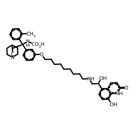 Cc1ccccc1C(NC(=O)O)(c1cccc(OCCCCCCCCCNCC(O)c2ccc(O)c3[nH]c(=O)ccc23)c1)C1CN2CCC1CC2